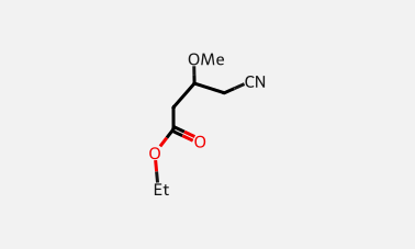 CCOC(=O)CC(CC#N)OC